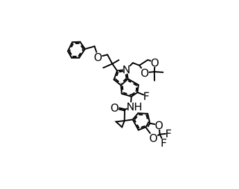 CC1(C)OCC(Cn2c(C(C)(C)COCc3ccccc3)cc3cc(NC(=O)C4(c5ccc6c(c5)OC(F)(F)O6)CC4)c(F)cc32)O1